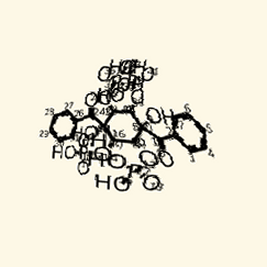 O=C(c1ccccc1)[C@]1(O)[C@H](OP(=O)(O)O)[C@@H](OP(=O)(O)O)[C@@](O)(C(=O)c2ccccc2)[C@@H](OP(=O)(O)O)[C@H]1OP(=O)(O)O